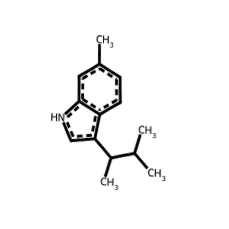 Cc1ccc2c(C(C)C(C)C)c[nH]c2c1